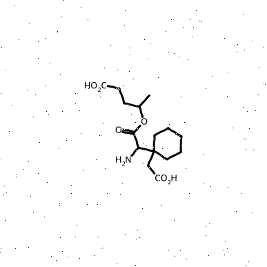 CC(CCC(=O)O)OC(=O)C(N)C1(CC(=O)O)CCCCC1